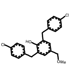 COCc1cc(Cc2ccc(Cl)cc2)c(O)c(Cc2ccc(Cl)cc2)c1